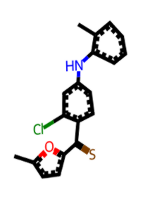 Cc1ccc(C(=S)c2ccc(Nc3ccccc3C)cc2Cl)o1